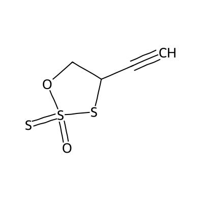 C#CC1COS(=O)(=S)S1